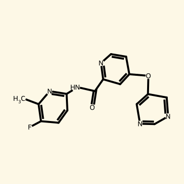 Cc1nc(NC(=O)c2cc(Oc3cncnc3)ccn2)ccc1F